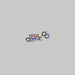 Cc1ccc(-c2scc(NC(=O)c3cc4ccccc4o3)c2C(=O)O)c2cccnc12